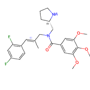 COc1cc(C(=O)N(C/C(C)=C/c2ccc(F)cc2F)C[C@@H]2CCCN2)cc(OC)c1OC